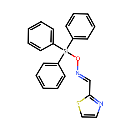 C(=NO[Si](c1ccccc1)(c1ccccc1)c1ccccc1)c1nccs1